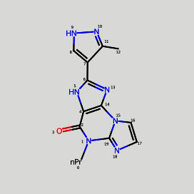 CCCn1c(=O)c2[nH]c(-c3c[nH]nc3C)nc2n2ccnc12